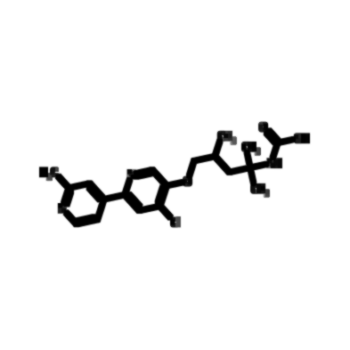 Cc1cc(-c2cc(Cl)c(OCC(C)CC(C)(C)NC(=O)O)cn2)ccn1